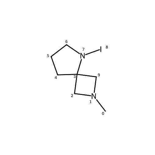 CN1CC2(CCCN2I)C1